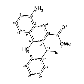 COC(=O)c1nc2c(N)cccc2c(O)c1C(C)c1ccccc1